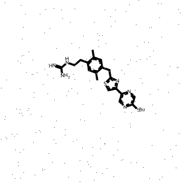 Cc1cc(Cc2nc(-c3cnc(C(C)(C)C)cn3)cs2)c(C)cc1CCNC(=N)N